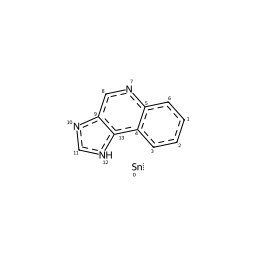 [Sn].c1ccc2c(c1)ncc1nc[nH]c12